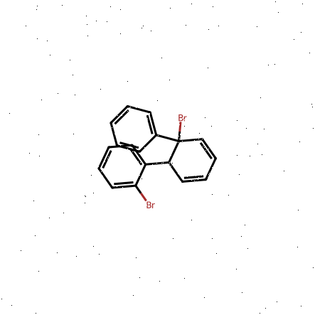 Brc1ccccc1C1C=CC=CC1(Br)c1ccccc1